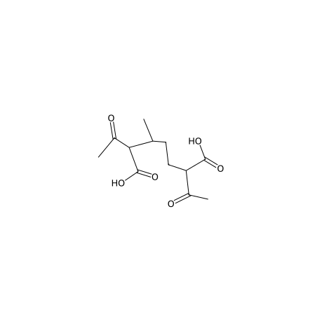 CC(=O)C(CCC(C)C(C(C)=O)C(=O)O)C(=O)O